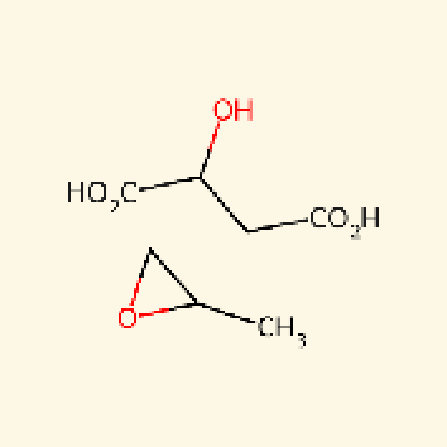 CC1CO1.O=C(O)CC(O)C(=O)O